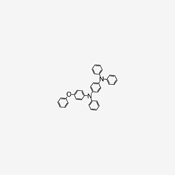 c1ccc(Oc2ccc(N(c3ccccc3)c3ccc(N(c4ccccc4)c4ccccc4)cc3)cc2)cc1